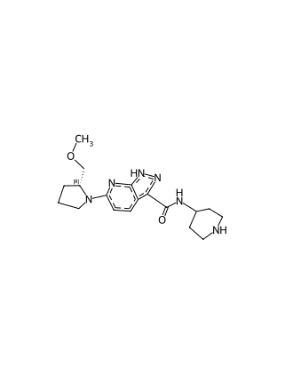 COC[C@H]1CCCN1c1ccc2c(C(=O)NC3CCNCC3)n[nH]c2n1